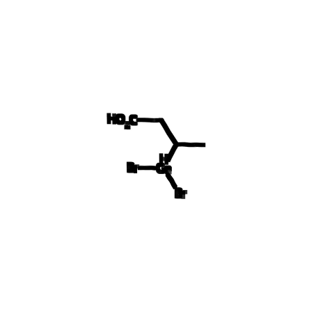 C[CH](CC(=O)O)[GeH]([Br])[Br]